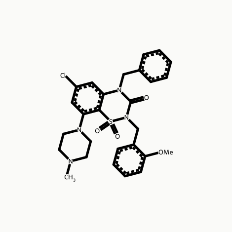 COc1ccccc1CN1C(=O)N(Cc2ccccc2)c2cc(Cl)cc(N3CCN(C)CC3)c2S1(=O)=O